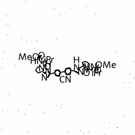 COC(=O)NC(C(=O)N1CCCC1c1ncc(-c2ccc(-c3ccc(-c4cnc(C5CCCN5C(=O)C(NC(=O)OC)C(C)C)[nH]4)cc3C#N)cc2)[nH]1)C(C)C